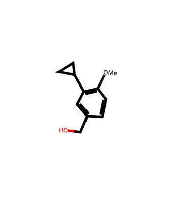 COc1ccc(CO)cc1C1CC1